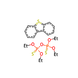 CCOP(=S)(OCC)OP(=S)(OCC)OCC.c1ccc2c(c1)sc1ccccc12